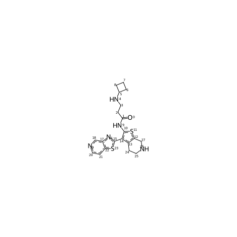 O=C(CCNC1CCC1)Nc1sc2c(c1-c1nc3cnccc3s1)CCNC2